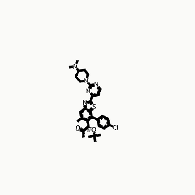 CC(=O)[C@@H](OC(C)(C)C)c1c(C)cc2nc(-c3ccnc(N4CCC(N(C)C)CC4)n3)sc2c1-c1ccc(Cl)cc1